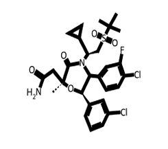 CC(C)(C)S(=O)(=O)C[C@H](C1CC1)N1C(=O)[C@](C)(CC(N)=O)O[C@H](c2cccc(Cl)c2)C1c1ccc(Cl)c(F)c1